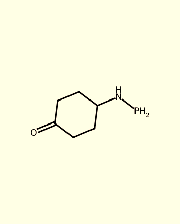 O=C1CCC(NP)CC1